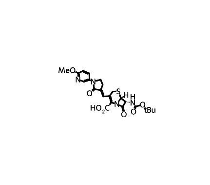 COc1ccc(N2CCC(=CC3=C(C(=O)O)N4C(=O)[C@@H](NC(=O)OC(C)(C)C)[C@H]4SC3)C2=O)cn1